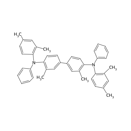 Cc1ccc(N(c2ccccc2)c2ccc(-c3ccc(N(c4ccccc4)c4ccc(C)cc4C)c(C)c3)cc2C)c(C)c1